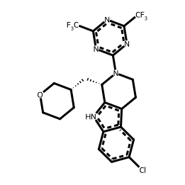 FC(F)(F)c1nc(N2CCc3c([nH]c4ccc(Cl)cc34)[C@@H]2C[C@@H]2CCCOC2)nc(C(F)(F)F)n1